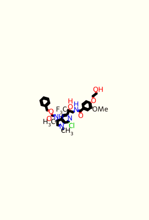 COc1cc(C(=O)NCC(O)(c2cc3c(c(Cl)n2)N(C)C[C@@]3(C)NC(=O)OCc2ccccc2)C(F)(F)F)ccc1OCCO